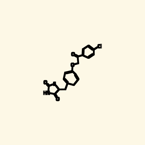 O=C1NC(=O)C(CC2=CC=C(OCC(=O)c3ccc(Cl)cc3)C=CC2)S1